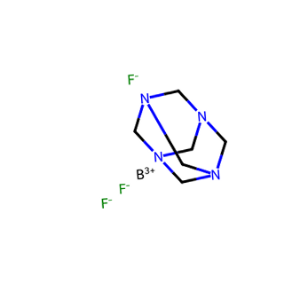 C1N2CN3CN1CN(C2)C3.[B+3].[F-].[F-].[F-]